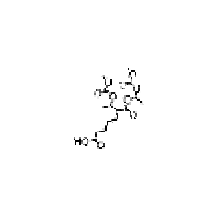 COC(=O)OC(C)OC(=O)C(CCCCC(=O)O)C(C)OC(=O)OC